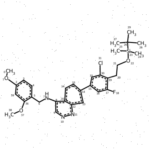 COc1ccc(CNc2cnnc3cc(-c4cc(F)c(CCO[Si](C)(C)C(C)(C)C)c(Cl)c4)ccc23)c(OC)c1